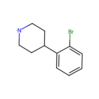 Brc1ccccc1C1CC[N]CC1